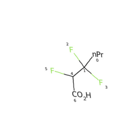 CCCC(F)(F)C(F)C(=O)O